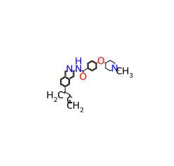 C=C=CC(=C)c1ccc2cnc(NC(=O)c3ccc(OC4CCN(C)CC4)cc3)cc2c1